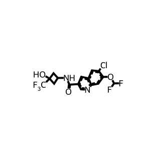 O=C(NC1CC(O)(C(F)(F)F)C1)c1cnc2cc(OC(F)F)c(Cl)cc2c1